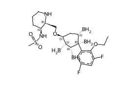 B[C@@H]1[C@@H](OC[C@@H]2NCCC[C@@H]2NS(C)(=O)=O)C[C@H](B)[C@@](B)(c2cc(F)cc(F)c2OCC)[C@@H]1B